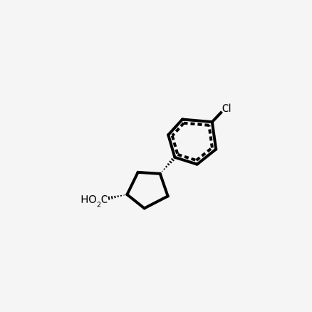 O=C(O)[C@H]1CC[C@@H](c2ccc(Cl)cc2)C1